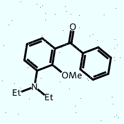 CCN(CC)c1cccc(C(=O)c2ccccc2)c1OC